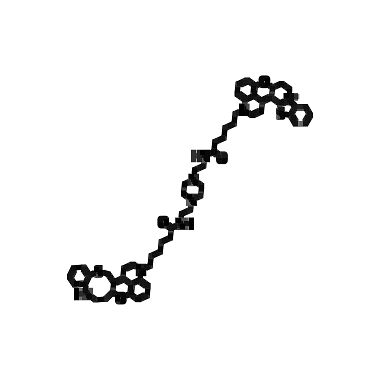 O=C(CCCCCN1C=CC2=C3CSc4ccccc4NCCC3Oc3cccc1c32)NCCN1CCN(CCNC(=O)CCCCCN2C=CC3=C4c5sc6ccccc6[n+]5CCC4Oc4cccc2c43)CC1